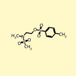 Cc1ccc(S(=O)(=O)OCCN(C)S(C)(=O)=O)cc1